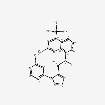 C[C@@H](c1ncnn1-c1cc(I)ncn1)N(C)c1ncnc2c(C(F)(F)F)cc(Cl)cc12